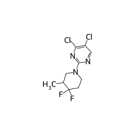 CC1CN(c2ncc(Cl)c(Cl)n2)CCC1(F)F